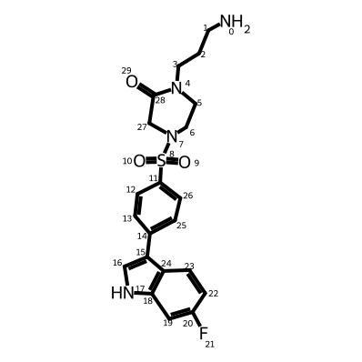 NCCCN1CCN(S(=O)(=O)c2ccc(-c3c[nH]c4cc(F)ccc34)cc2)CC1=O